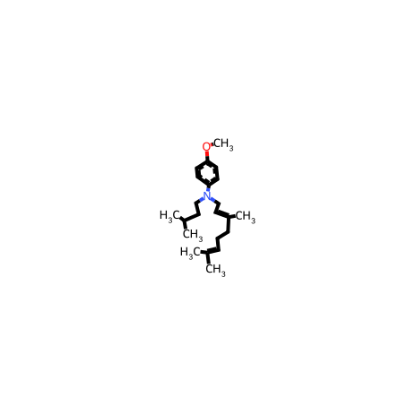 COc1ccc(N(C/C=C(\C)CCC=C(C)C)CCC(C)C)cc1